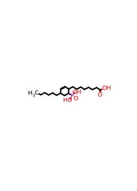 CCCCCCC1C=CC(CCCCCCCC(=O)O)C(P(=O)(O)O)C1